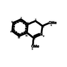 COC1=NC(OC)Cc2ccccc21